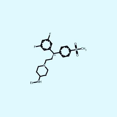 CCNC1CCN(CC[C@H](c2ccc(S(C)(=O)=O)cc2)c2cc(F)cc(F)c2)CC1